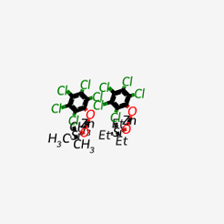 CC[Si](CC)(CC)[O][Zn][O]c1c(Cl)c(Cl)c(Cl)c(Cl)c1Cl.C[Si](C)(C)[O][Zn][O]c1c(Cl)c(Cl)c(Cl)c(Cl)c1Cl